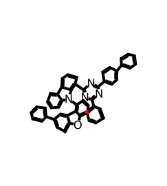 c1ccc(-c2ccc(-c3nc(-c4ccccc4)nc(-c4cccc5c6ccccc6n(-c6cccc7oc8ccc(-c9ccccc9)cc8c67)c45)n3)cc2)cc1